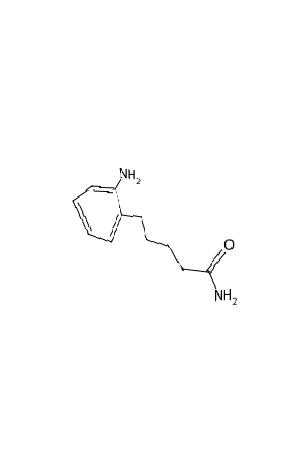 NC(=O)CCCCc1ccccc1N